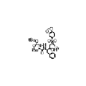 CC[C@H](C)[C@H](NC(=O)OC(C)(C)C)C(=O)NC(Cc1ccccc1)[C@H](O)CN(CC(C)C)S(=O)(=O)c1ccc2c(c1)OCO2